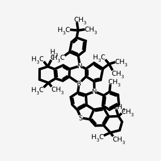 Cc1cc(C(C)(C)C)ccc1N1c2cc3c(cc2B2c4ccc5sc6cc7c(cc6c5c4N(c4ccccc4C)c4cc(C(C)(C)C)cc1c42)C(C)(C)CCC7(C)C)C(C)(C)CCC3(C)C